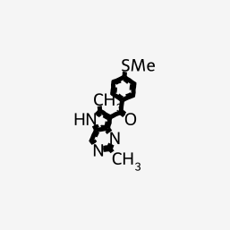 CSc1ccc(C(=O)c2c(C)[nH]c3cnc(C)nc23)cc1